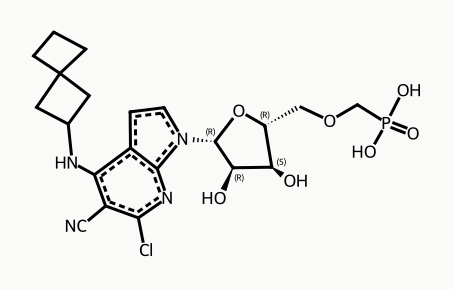 N#Cc1c(Cl)nc2c(ccn2[C@@H]2O[C@H](COCP(=O)(O)O)[C@@H](O)[C@H]2O)c1NC1CC2(CCC2)C1